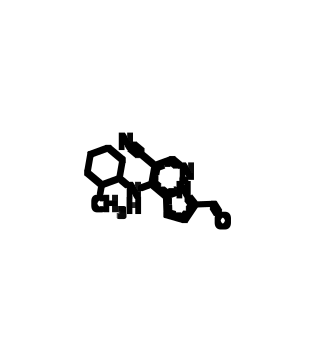 CC1CCCCC1Nc1c(C#N)cnn2c(C=O)ccc12